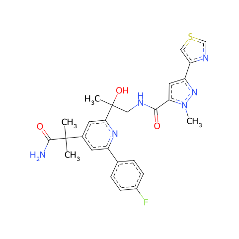 Cn1nc(-c2cscn2)cc1C(=O)NCC(C)(O)c1cc(C(C)(C)C(N)=O)cc(-c2ccc(F)cc2)n1